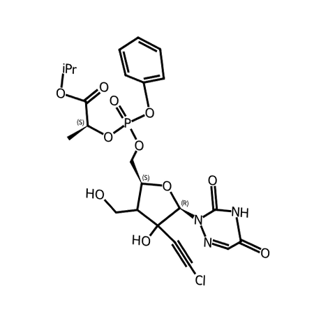 CC(C)OC(=O)[C@H](C)OP(=O)(OC[C@H]1O[C@@H](n2ncc(=O)[nH]c2=O)C(O)(C#CCl)C1CO)Oc1ccccc1